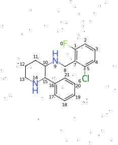 Fc1cccc(Cl)c1CNC1CCCNC1c1ccccc1